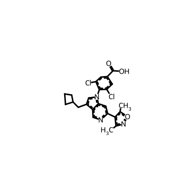 Cc1noc(C)c1-c1cc2c(cn1)c(CC1CCC1)cn2-c1c(Cl)cc(C(=O)O)cc1Cl